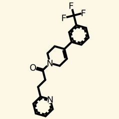 O=C(CCc1ccccn1)N1CC=C(c2cccc(C(F)(F)F)c2)CC1